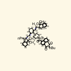 CCCCN1C(=O)c2cccc3c(S(=O)(=O)N4CCN(C5=C(/C=C/C6=Nc7ccccc7C6(C)C)CCC/C5=C\C=C5\N(CCC)c6ccccc6C5(C)C)CC4)ccc(c23)C1=O